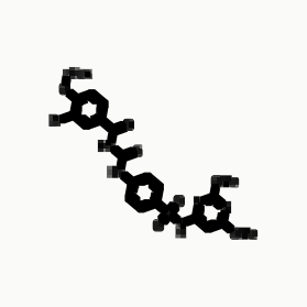 CCCCCCOc1ccc(C(=O)NC(=S)Nc2ccc(S(=O)(=O)Nc3cc(OC)nc(OC)n3)cc2)cc1Br